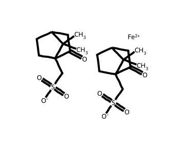 CC1(C)C2CCC1(CS(=O)(=O)[O-])C(=O)C2.CC1(C)C2CCC1(CS(=O)(=O)[O-])C(=O)C2.[Fe+2]